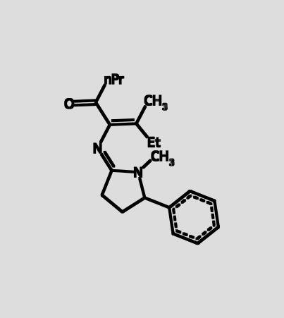 CCCC(=O)C(/N=C1/CCC(c2ccccc2)N1C)=C(\C)CC